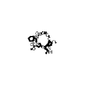 CNc1cc2c3cc(c(OC)cc3n1)CCCC(C)(C)COC(=O)N[C@@H](C1CCCCC1)C(=O)N1C[C@@H](C[C@H]1C(=O)OC)O2